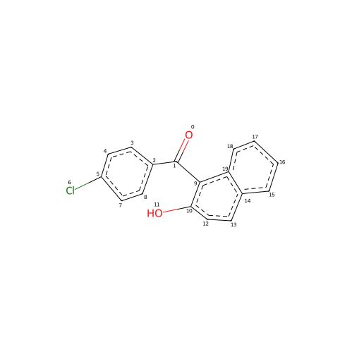 O=C(c1ccc(Cl)cc1)c1c(O)ccc2ccccc12